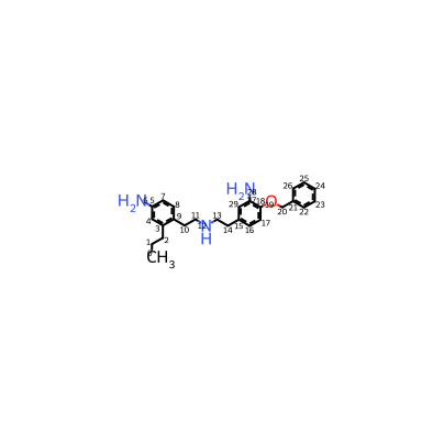 CCCc1cc(N)ccc1CCNCCc1ccc(OCc2ccccc2)c(N)c1